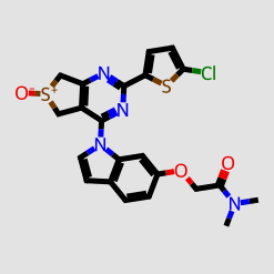 CN(C)C(=O)COc1ccc2ccn(-c3nc(-c4ccc(Cl)s4)nc4c3C[S+]([O-])C4)c2c1